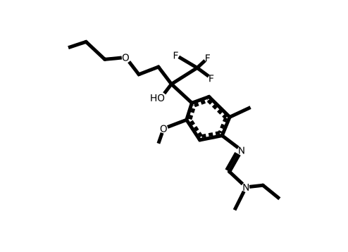 CCCOCCC(O)(c1cc(C)c(/N=C/N(C)CC)cc1OC)C(F)(F)F